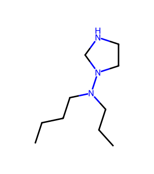 CCCCN(CCC)N1CCNC1